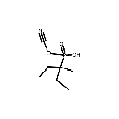 CCC(C)(CC)P(=O)(O)OC#N